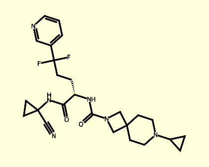 N#CC1(NC(=O)[C@H](CCC(F)(F)c2cccnc2)NC(=O)N2CC3(CCN(C4CC4)CC3)C2)CC1